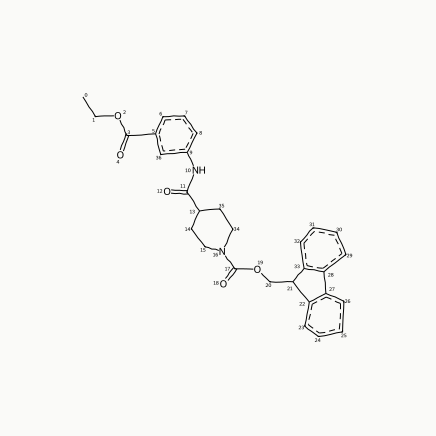 CCOC(=O)c1cccc(NC(=O)C2CCN(C(=O)OCC3c4ccccc4-c4ccccc43)CC2)c1